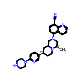 C[C@@H]1CN(c2ccc(C#N)c3ncccc23)CC2C[C@H](c3ccc(N4CCNCC4)nc3)CCN21